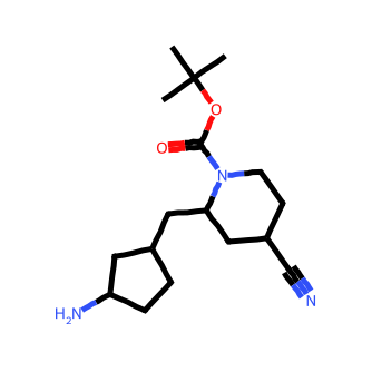 CC(C)(C)OC(=O)N1CCC(C#N)CC1CC1CCC(N)C1